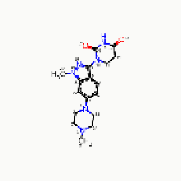 CN1CCN(c2ccc3c(N4CCC(=O)NC4=O)nn(C)c3c2)CC1